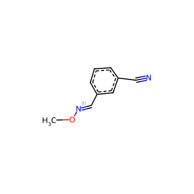 CO/N=C/c1cccc(C#N)c1